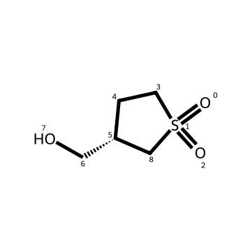 O=S1(=O)CC[C@@H](CO)C1